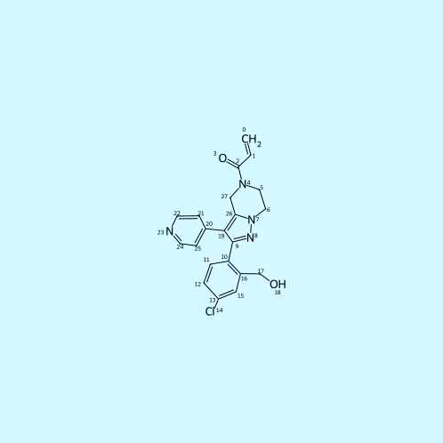 C=CC(=O)N1CCn2nc(-c3ccc(Cl)cc3CO)c(-c3ccncc3)c2C1